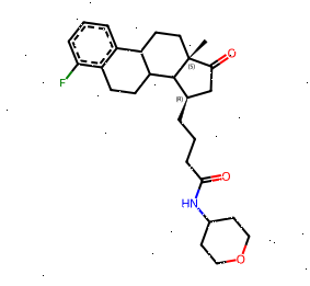 C[C@]12CCC3c4cccc(F)c4CCC3C1[C@H](CCCC(=O)NC1CCOCC1)CC2=O